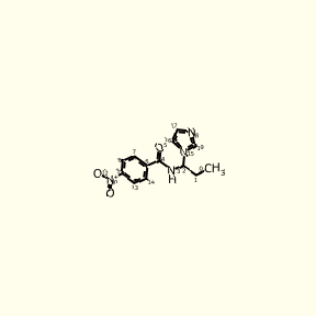 CCC(NC(=O)c1ccc([N+](=O)[O-])cc1)n1ccnc1